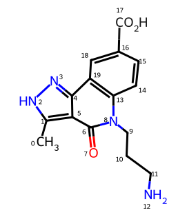 Cc1[nH]nc2c1c(=O)n(CCCN)c1ccc(C(=O)O)cc21